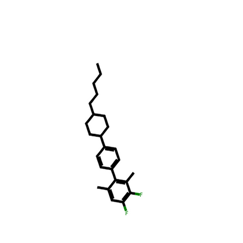 CCCCCC1CCC(c2ccc(-c3c(C)cc(F)c(F)c3C)cc2)CC1